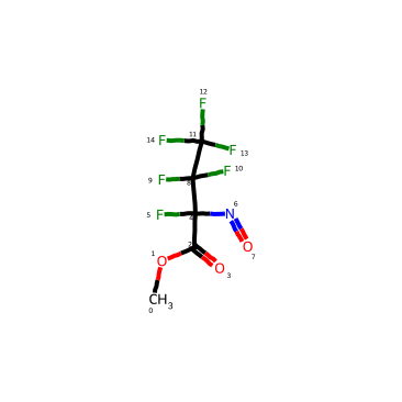 COC(=O)C(F)(N=O)C(F)(F)C(F)(F)F